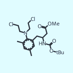 COC(=O)CC(Cc1cc(C)cc(C)c1N(CCCl)CCCl)NC(=O)OC(C)(C)C